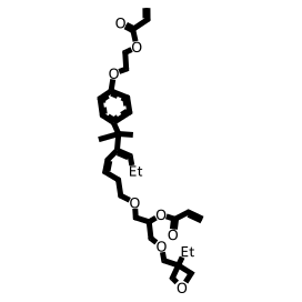 C=CC(=O)OCCOc1ccc(C(C)(C)C(/C=C\CCOCC(COCC2(CC)COC2)OC(=O)C=C)=C/CC)cc1